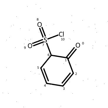 O=C1C=CC=CC1S(=O)(=O)Cl